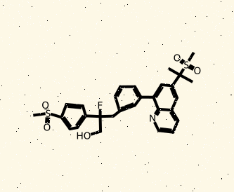 CC(C)(c1cc(-c2cccc(CC(F)(CO)c3ccc(S(C)(=O)=O)cc3)c2)c2ncccc2c1)S(C)(=O)=O